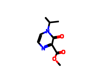 COC(=O)c1nccn(C(C)C)c1=O